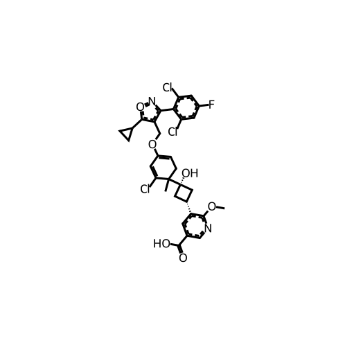 COc1ncc(C(=O)O)cc1[C@H]1C[C@](O)(C2(C)CC=C(OCc3c(-c4c(Cl)cc(F)cc4Cl)noc3C3CC3)C=C2Cl)C1